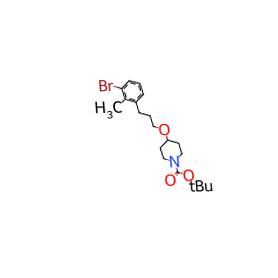 Cc1c(Br)cccc1CCCOC1CCN(C(=O)OC(C)(C)C)CC1